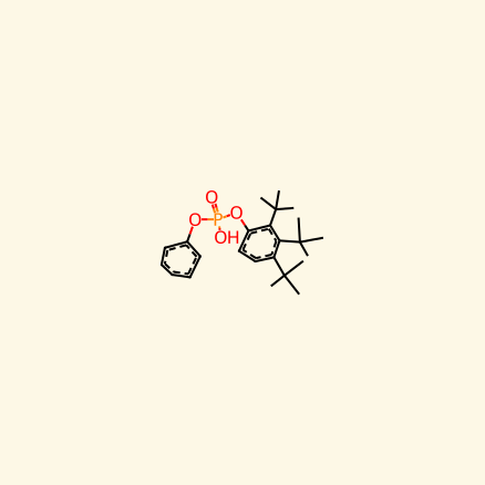 CC(C)(C)c1ccc(OP(=O)(O)Oc2ccccc2)c(C(C)(C)C)c1C(C)(C)C